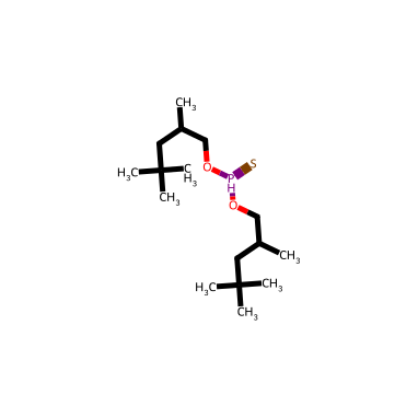 CC(CO[PH](=S)OCC(C)CC(C)(C)C)CC(C)(C)C